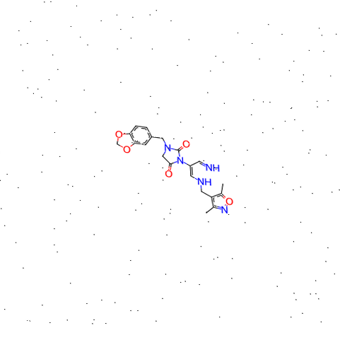 Cc1noc(C)c1CN/C=C(\C=N)N1C(=O)CN(Cc2ccc3c(c2)OCO3)C1=O